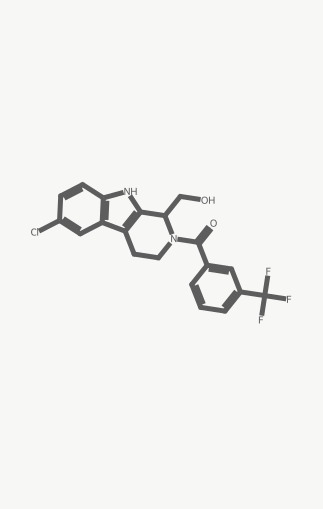 O=C(c1cccc(C(F)(F)F)c1)N1CCc2c([nH]c3ccc(Cl)cc23)C1CO